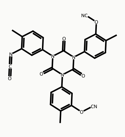 Cc1ccc(-n2c(=O)n(-c3ccc(C)c(OC#N)c3)c(=O)n(-c3ccc(C)c(OC#N)c3)c2=O)cc1N=C=O